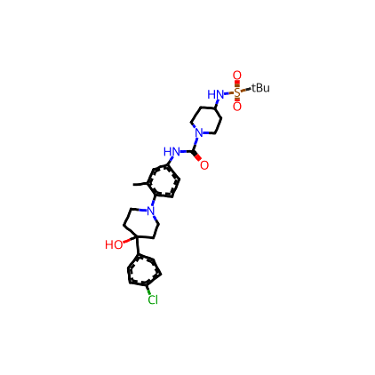 Cc1cc(NC(=O)N2CCC(NS(=O)(=O)C(C)(C)C)CC2)ccc1N1CCC(O)(c2ccc(Cl)cc2)CC1